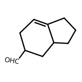 O=CC1CC=C2CCCC2C1